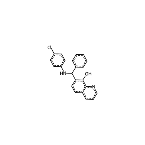 Oc1c(C(Nc2ccc(Cl)cc2)c2ccccc2)ccc2cccnc12